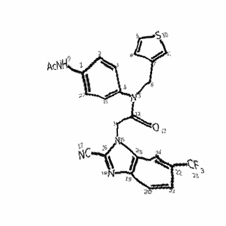 CC(=O)Nc1ccc(N(Cc2ccsc2)C(=O)Cn2c(C#N)nc3ccc(C(F)(F)F)cc32)cc1